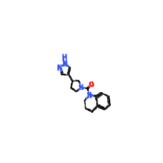 O=C(N1CCC(c2cn[nH]c2)C1)N1CCCc2ccccc21